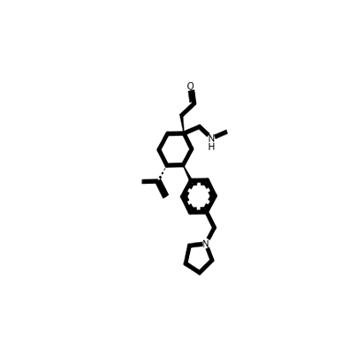 C=C(C)[C@@H]1CC[C@](CC=O)(CNC)C[C@H]1c1ccc(CN2CCCC2)cc1